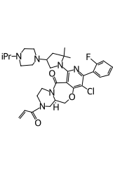 C=CC(=O)N1CCN2C(=O)c3c(N4CC(N5CCN(C(C)C)CC5)CC4(C)C)nc(-c4ccccc4F)c(Cl)c3OC[C@H]2C1